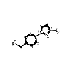 CCc1ccn(-c2ccc(CBr)cc2)n1